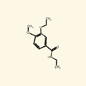 CCNC(=O)c1ccc(OC)c(OCC)c1